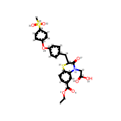 CCOC(=O)c1ccc2c(c1)N(CC(=O)O)C(=O)C(Cc1ccc(Oc3ccc(S(C)(=O)=O)cc3)cc1)S2